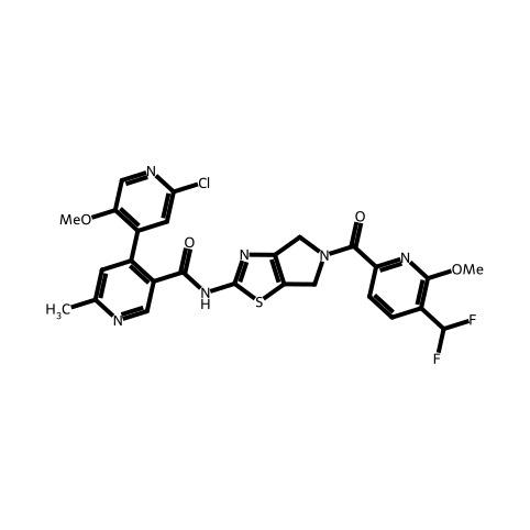 COc1cnc(Cl)cc1-c1cc(C)ncc1C(=O)Nc1nc2c(s1)CN(C(=O)c1ccc(C(F)F)c(OC)n1)C2